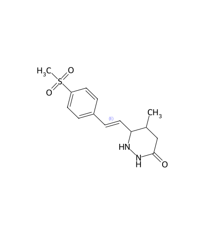 CC1CC(=O)NNC1/C=C/c1ccc(S(C)(=O)=O)cc1